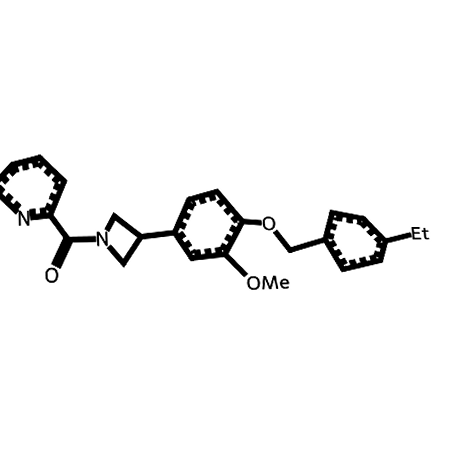 CCc1ccc(COc2ccc(C3CN(C(=O)c4ccccn4)C3)cc2OC)cc1